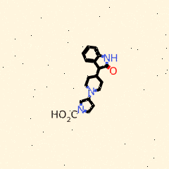 O=C1Nc2ccccc2C1C1CCN(C2CCN(C(=O)O)C2)CC1